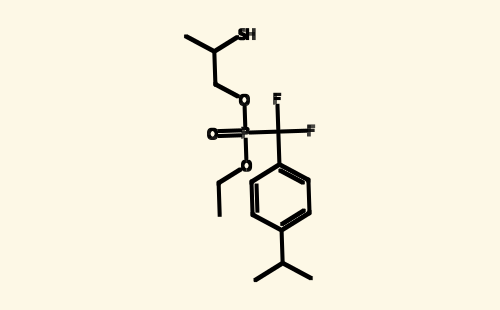 CCOP(=O)(OCC(C)S)C(F)(F)c1ccc(C(C)C)cc1